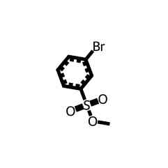 COS(=O)(=O)c1cccc(Br)c1